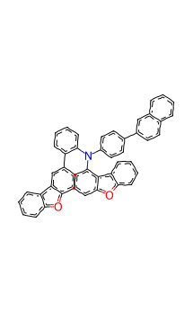 c1ccc(N(c2ccc(-c3ccc4ccccc4c3)cc2)c2cccc3oc4ccccc4c23)c(-c2ccc3oc4ccccc4c3c2)c1